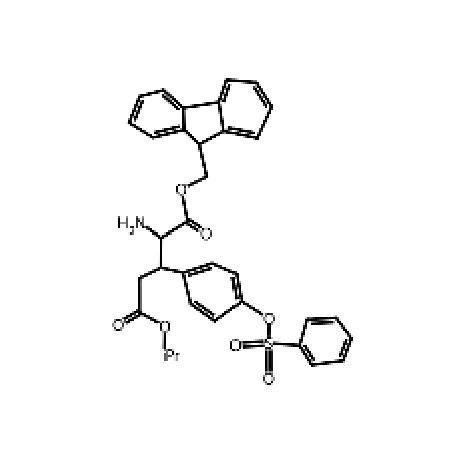 CC(C)OC(=O)CC(c1ccc(OS(=O)(=O)c2ccccc2)cc1)C(N)C(=O)OCC1c2ccccc2-c2ccccc21